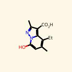 CCc1c(C)cc(O)n2nc(C)c(C(=O)O)c12